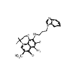 CC1(C)COc2c(NCCCn3cnc4ccccc43)c(F)c(N)c3c(=O)c(C(=O)O)cn1c23